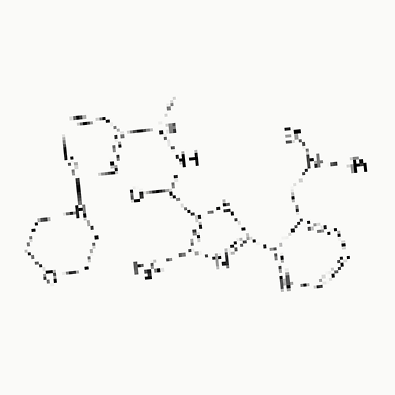 CCN(Cc1cccnc1-c1nc(C(F)(F)F)c(C(=O)N[C@@H](C)c2cccc(N3CCOCC3)c2)s1)C(C)C